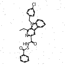 CCc1nc(C(=O)NSC(=O)c2ccccc2)cc2c3ccccc3n(Cc3ccc(Cl)cc3)c12